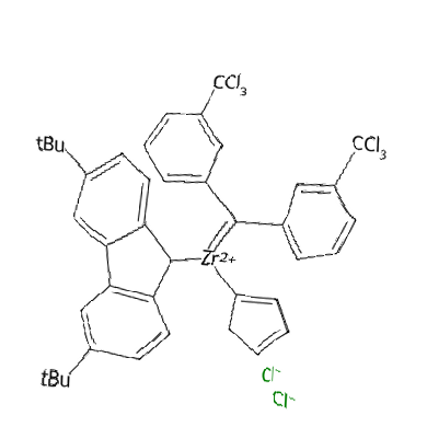 CC(C)(C)c1ccc2c(c1)-c1cc(C(C)(C)C)ccc1[CH]2[Zr+2]([C]1=CC=CC1)=[C](c1cccc(C(Cl)(Cl)Cl)c1)c1cccc(C(Cl)(Cl)Cl)c1.[Cl-].[Cl-]